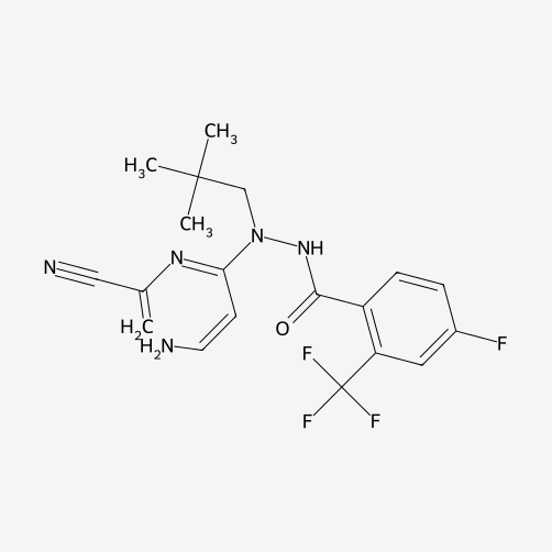 C=C(C#N)/N=C(\C=C/N)N(CC(C)(C)C)NC(=O)c1ccc(F)cc1C(F)(F)F